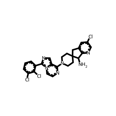 NC1c2ncc(Cl)cc2CC12CCN(c1nccn3c(-c4cccc(Cl)c4Cl)ncc13)CC2